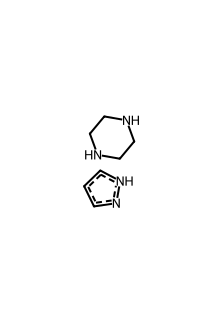 C1CNCCN1.c1cn[nH]c1